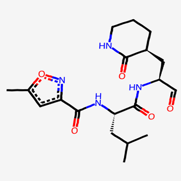 Cc1cc(C(=O)N[C@@H](CC(C)C)C(=O)N[C@H](C=O)C[C@@H]2CCCNC2=O)no1